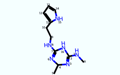 CNC1=NC(C)N=C(NCCc2ccc[nH]2)N1